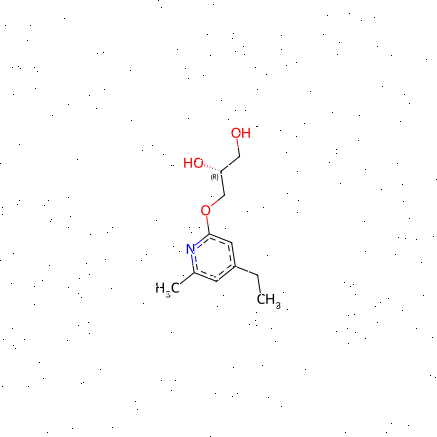 CCc1cc(C)nc(OC[C@H](O)CO)c1